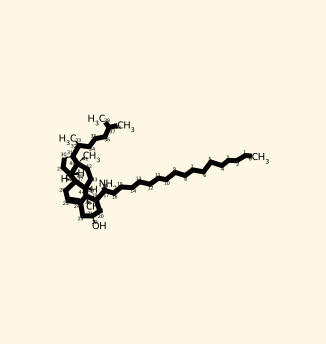 CCCCCCCCCCCCCCCCCC(N)C1C[C@H](O)CC2=CC[C@H]3[C@@H]4CC[C@H]([C@H](C)CCCC(C)C)[C@@]4(C)CC[C@@H]3[C@]21C